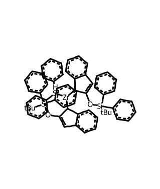 CC(C)(C)[Si](OC1=Cc2ccccc2[CH]1[Zr]([CH]1C(O[Si](c2ccccc2)(c2ccccc2)C(C)(C)C)=Cc2ccccc21)[SiH](c1ccccc1)c1ccccc1)(c1ccccc1)c1ccccc1